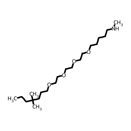 CCCC(C)(C)CCCOCCOCCOCCOCCCCCNC